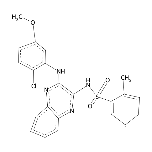 COc1ccc(Cl)c(Nc2nc3ccccc3nc2NS(=O)(=O)C2=C[CH]CC=C2C)c1